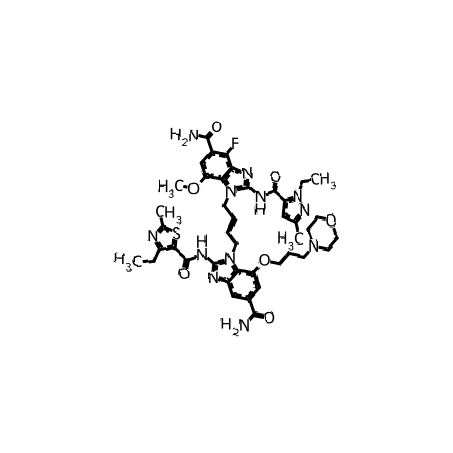 CCc1nc(C)sc1C(=O)Nc1nc2cc(C(N)=O)cc(OCCCN3CCOCC3)c2n1CC=CCn1c(NC(=O)c2cc(C)nn2CC)nc2c(F)c(C(N)=O)cc(OC)c21